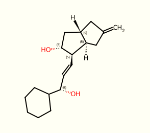 C=C1C[C@H]2C[C@@H](O)[C@H](C=C[C@H](O)C3CCCCC3)[C@@H]2C1